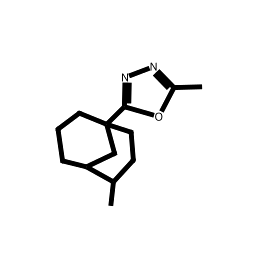 Cc1nnc(C23CCCC(C2)C(C)CC3)o1